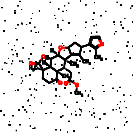 COC(=O)C[C@H]1[C@]2(C)C3=C(C)C(c4ccoc4C)CC3O[C@@H]2[C@@H]2OC(=O)[C@]3(C)CCC(=O)[C@@]1(C)[C@@H]23